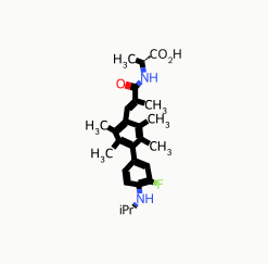 C/C(=C\c1c(C)c(C)c(-c2ccc(NC(C)C)c(F)c2)c(C)c1C)C(=O)N[C@H](C)C(=O)O